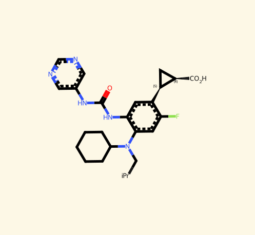 CC(C)CN(c1cc(F)c([C@H]2C[C@H]2C(=O)O)cc1NC(=O)Nc1cncnc1)C1CCCCC1